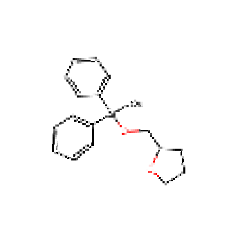 CC(C)(C)[Si](OCC1CCCO1)(c1ccccc1)c1ccccc1